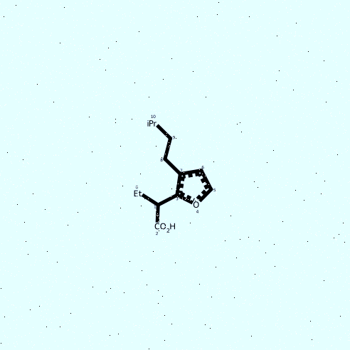 CCC(C(=O)O)c1occc1CCC(C)C